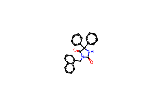 O=C1NC(c2ccccc2)(c2ccccc2)C(=O)N1Cc1cccc2ccccc12